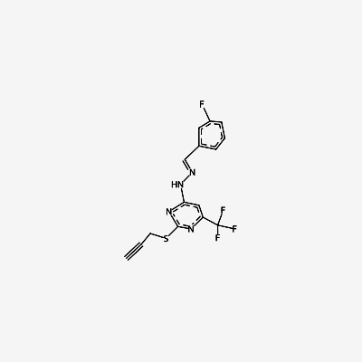 C#CCSc1nc(NN=Cc2cccc(F)c2)cc(C(F)(F)F)n1